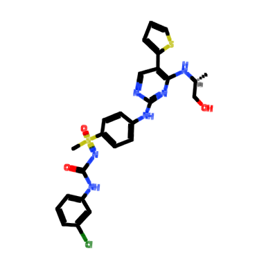 C[C@H](CO)Nc1nc(Nc2ccc(S(C)(=O)=NC(=O)Nc3cccc(Cl)c3)cc2)ncc1-c1cccs1